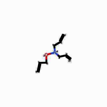 C=C[CH]ON(CC=C)CC=C